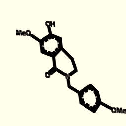 COc1ccc(CN2CCc3cc(O)c(OC)cc3C2=O)cc1